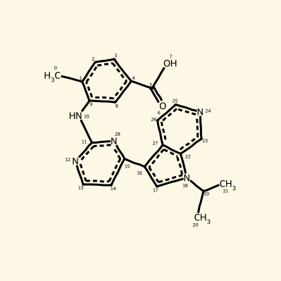 Cc1ccc(C(=O)O)cc1Nc1nccc(-c2cn(C(C)C)c3cnccc23)n1